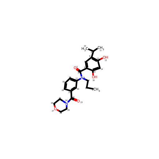 CCCN(C(=O)c1cc(C(C)C)c(O)cc1O)c1cccc(C(=O)N2CCOCC2)c1